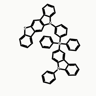 c1ccc(-n2c3ccccc3c3cc([Si](c4ccccc4)(c4ccccc4)c4cccc(-n5c6ccccc6c6cc7sc8ccccc8c7cc65)c4)ccc32)cc1